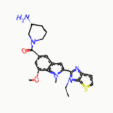 CCn1c(-c2cc3cc(C(=O)N4CCC[C@@H](N)C4)cc(OC)c3n2C)nc2ccsc21